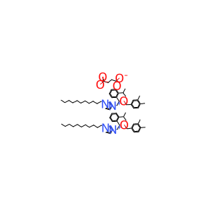 CCCCCCCCCCCn1cc[n+](CC(OCc2ccc(C)c(C)c2)c2ccccc2C(C)C)c1.CCCCCCCCCCCn1cc[n+](CC(OCc2ccc(C)c(C)c2)c2ccccc2C(C)C)c1.O=C([O-])CCC(=O)[O-]